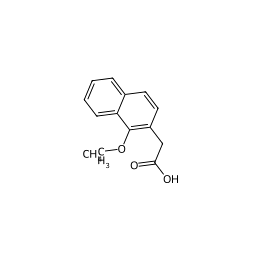 C.COc1c(CC(=O)O)ccc2ccccc12